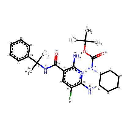 CC(C)(C)OC(=O)N[C@@H]1CCCC[C@@H]1Nc1nc(N)c(C(=O)NC(C)(C)c2ccccc2)cc1F